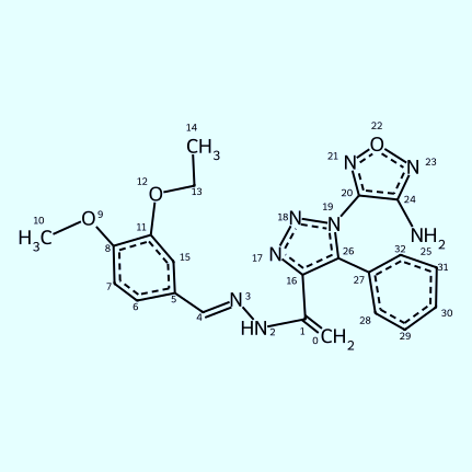 C=C(N/N=C/c1ccc(OC)c(OCC)c1)c1nnn(-c2nonc2N)c1-c1ccccc1